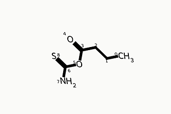 CCCC(=O)OC(N)=S